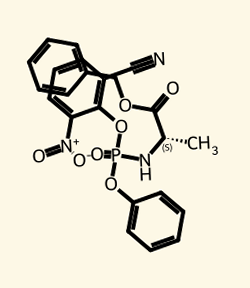 C[C@H](NP(=O)(Oc1ccccc1)Oc1c(C#N)cccc1[N+](=O)[O-])C(=O)OCc1ccccc1